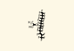 CC(=O)O.FC(=C(F)C(F)(F)C(F)(F)C(F)(F)C(F)(F)C(F)(F)C(F)(F)C(F)(F)C(F)(F)F)C(F)(F)F